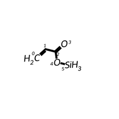 C=CC(=O)O[SiH3]